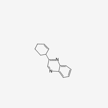 C1=CC(c2cnc3ccccc3n2)CCC1